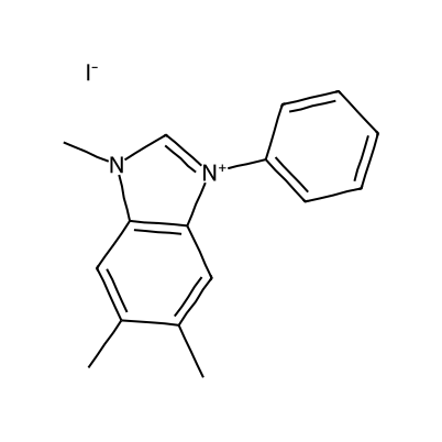 Cc1cc2c(cc1C)[n+](-c1ccccc1)cn2C.[I-]